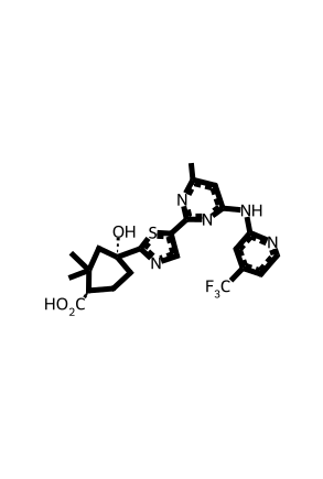 Cc1cc(Nc2cc(C(F)(F)F)ccn2)nc(-c2cnc([C@@]3(O)CC[C@H](C(=O)O)C(C)(C)C3)s2)n1